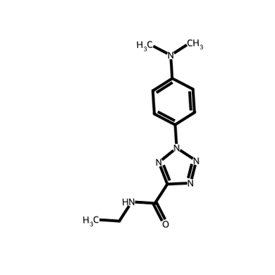 CCNC(=O)c1nnn(-c2ccc(N(C)C)cc2)n1